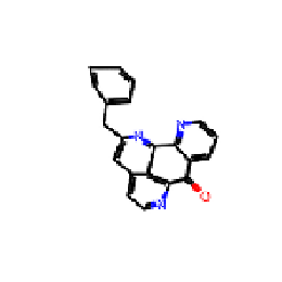 O=C1c2cccnc2-c2nc(Cc3ccccc3)cc3ccnc1c23